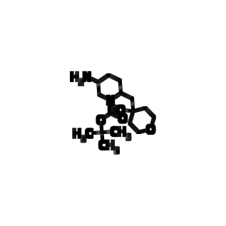 CC(C)(C)OC(=O)N1CC(N)CCC1CC1(O)CCOCC1